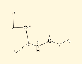 CCONC(C)OCC